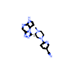 CN1CCN(c2ccc(C#N)cn2)C[C@@H]1c1nnc2cnc3[nH]ccc3n12